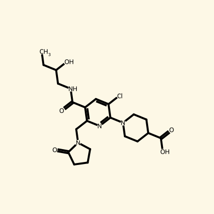 CCC(O)CNC(=O)c1cc(Cl)c(N2CCC(C(=O)O)CC2)nc1CN1CCCC1=O